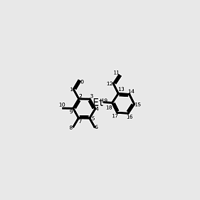 C=Cc1ccc(C)c(C)c1C.C=Cc1ccccc1CC